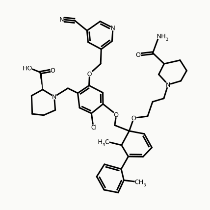 Cc1ccccc1C1=CC=CC(COc2cc(OCc3cncc(C#N)c3)c(CN3CCCC[C@H]3C(=O)O)cc2Cl)(OCCCN2CCCC(C(N)=O)C2)C1C